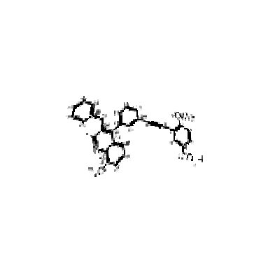 COc1ccc(C(=O)O)cc1C#Cc1cccc(-c2c(Cc3ccccc3)cnc3c(C(F)(F)F)cccc23)c1